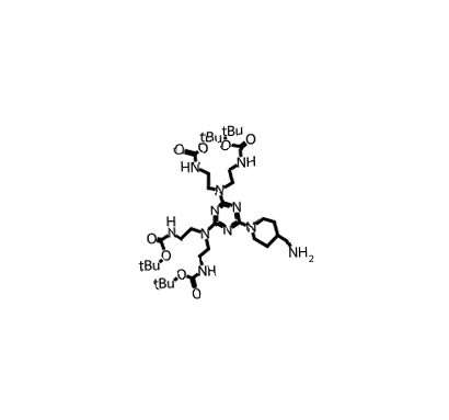 CC(C)(C)OC(=O)NCCN(CCNC(=O)OC(C)(C)C)c1nc(N(CCNC(=O)OC(C)(C)C)CCNC(=O)OC(C)(C)C)nc(N2CCC(CN)CC2)n1